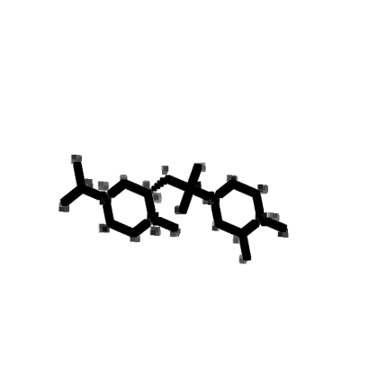 CC1CN(C(C)(C)C[C@H]2CN(C(C)C)CCN2C)CCN1C